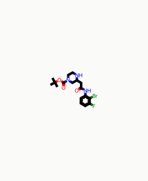 CC(C)(C)OC(=O)N1CCNC(CC(=O)Nc2cccc(F)c2Br)C1